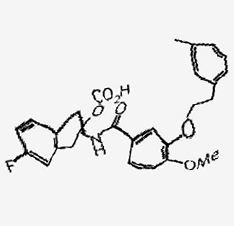 COc1ccc(C(=O)NC2(OC(=O)O)Cc3ccc(F)cc3C2)cc1OCCc1cccc(C)c1